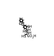 O=C(O)[C@@H](CS)NNNC1C=CC(OCc2ccccc2C(F)(F)F)=CC1S